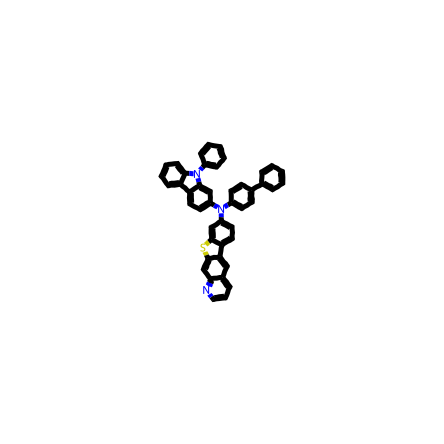 c1ccc(-c2ccc(N(c3ccc4c(c3)sc3cc5ncccc5cc34)c3ccc4c5ccccc5n(-c5ccccc5)c4c3)cc2)cc1